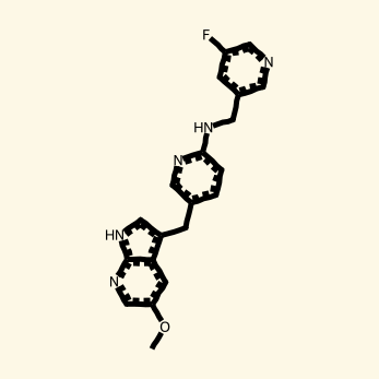 COc1cnc2[nH]cc(Cc3ccc(NCc4cncc(F)c4)nc3)c2c1